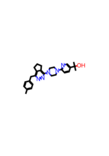 Cc1ccc(Cc2nnc(N3CCN(c4ccc(C(C)(C)O)cn4)CC3)c3c2CCC3)cc1